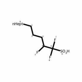 CCCCCCCCCCC(F)C(F)(F)S(=O)(=O)O